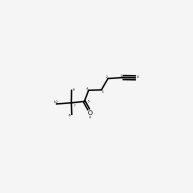 C#CCCCC(=O)C(C)(C)C